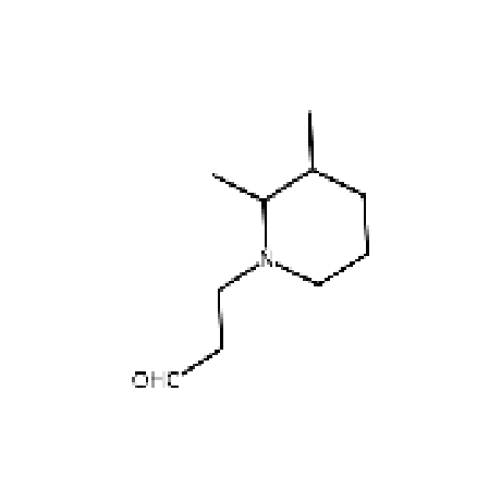 CC1CCCN(CCC=O)C1C